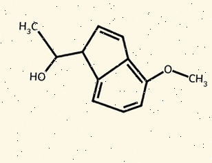 COc1cccc2c1C=CC2C(C)O